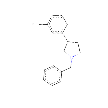 FC(F)(F)c1cccc(C2[CH]CN(Cc3ccccc3)C2)c1